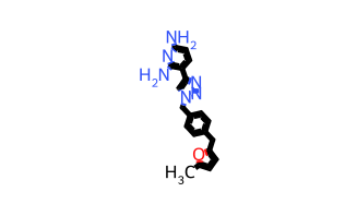 Cc1ccc(Cc2ccc(Cn3cc(-c4ccc(N)nc4N)nn3)cc2)o1